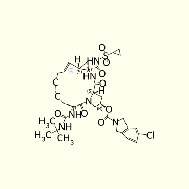 CC(C)(C)NC(=O)N[C@H]1CCCCC/C=C/[C@@H]2C[C@@]2(C(=O)NS(=O)(=O)C2CC2)NC(=O)[C@@H]2C[C@@H](OC(=O)N3Cc4ccc(Cl)cc4C3)CN2C1=O